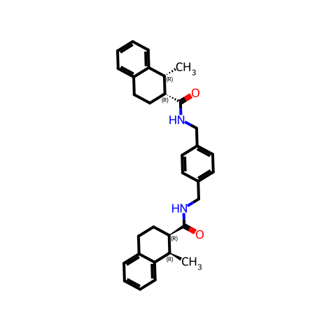 C[C@H]1c2ccccc2CC[C@H]1C(=O)NCc1ccc(CNC(=O)[C@@H]2CCc3ccccc3[C@@H]2C)cc1